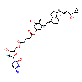 C=C1/C(=C\C=C2/CCC[C@@]3(C)C2CCC3[C@@H](C)/C=C/C(O)C2CC2)CC(OC(=O)CCCC(=O)OCC2OC(n3ccc(N)nc3=O)C(F)(F)C2O)C[C@@H]1O